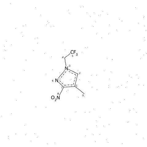 Cc1cn(CC(F)(F)F)nc1[N+](=O)[O-]